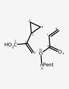 C=C(C(=O)O)C1CC1.C=CC(=O)OCCCCC